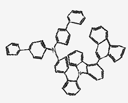 c1ccc(-c2ccc(N(c3ccc(-c4ccccc4)cc3)c3ccc(-c4ccccc4-n4c5ccccc5c5c(-c6cc7ccccc7c7ccccc67)cccc54)cc3)cc2)cc1